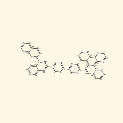 c1ccc2cc(-c3nc(-c4ccc(-c5ccc(-c6nc7ccccc7c7c8ccccc8c8ccccc8c67)cc5)cc4)nc4ccccc34)ccc2c1